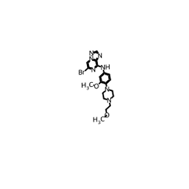 COCCN1CCN(c2ccc(Nc3nc(Br)cn4ncnc34)cc2OC)CC1